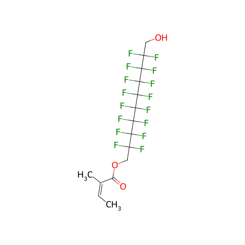 CC=C(C)C(=O)OCC(F)(F)C(F)(F)C(F)(F)C(F)(F)C(F)(F)C(F)(F)C(F)(F)C(F)(F)CO